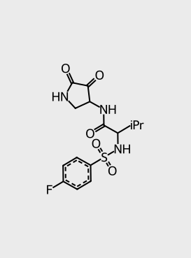 CC(C)C(NS(=O)(=O)c1ccc(F)cc1)C(=O)NC1CNC(=O)C1=O